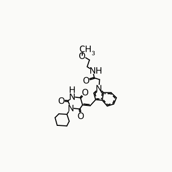 COCCNC(=O)Cn1cc(/C=C2\C(=O)NC(=O)N(C3CCCCC3)C2=O)c2ccccc21